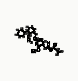 CCOc1nc(OCc2cccc(-c3ccccc3)c2C)ncc1CNOC(=O)C1CC1